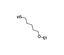 CCOCCCCCS